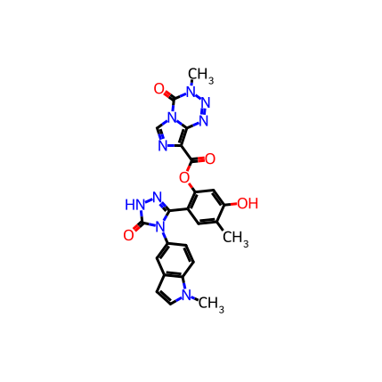 Cc1cc(-c2n[nH]c(=O)n2-c2ccc3c(ccn3C)c2)c(OC(=O)c2ncn3c(=O)n(C)nnc23)cc1O